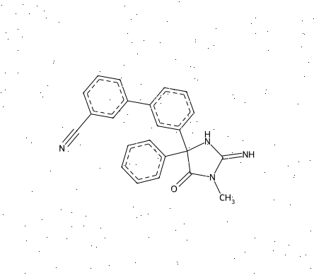 CN1C(=N)NC(c2ccccc2)(c2cccc(-c3cccc(C#N)c3)c2)C1=O